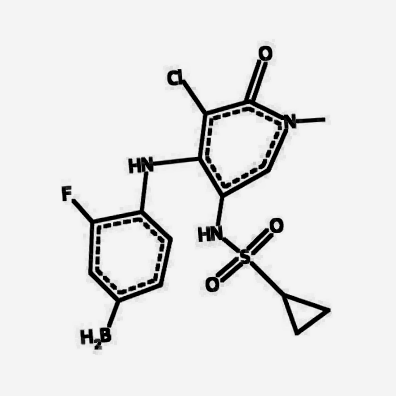 Bc1ccc(Nc2c(NS(=O)(=O)C3CC3)cn(C)c(=O)c2Cl)c(F)c1